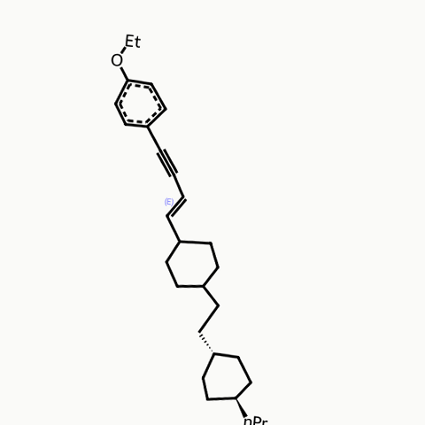 CCC[C@H]1CC[C@H](CCC2CCC(/C=C/C#Cc3ccc(OCC)cc3)CC2)CC1